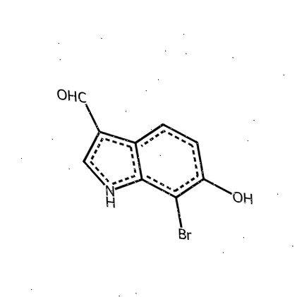 O=Cc1c[nH]c2c(Br)c(O)ccc12